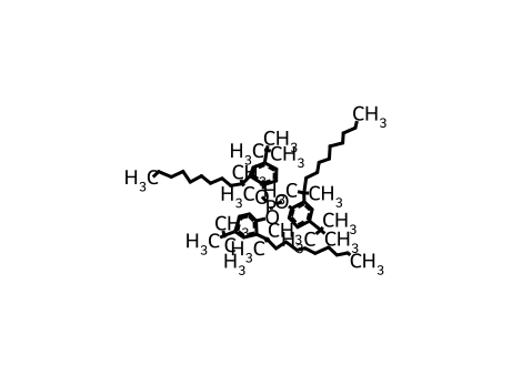 CCCCCCCCCC(C)(C)c1cc(C(C)(C)C)ccc1OP(Oc1ccc(C(C)(C)C)cc1C(C)(C)CCCCCCCCC)Oc1ccc(C(C)(C)C)cc1C(C)(C)CCCCCCCCC